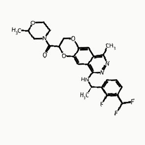 Cc1nnc(N[C@H](C)c2cccc(C(F)F)c2F)c2cc3c(cc12)OCC(C(=O)N1CCOC(C)C1)O3